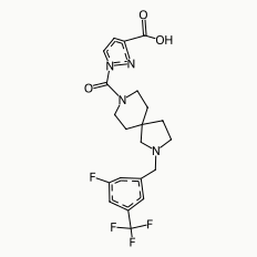 O=C(O)c1ccn(C(=O)N2CCC3(CCN(Cc4cc(F)cc(C(F)(F)F)c4)C3)CC2)n1